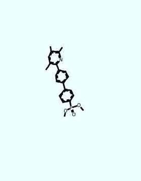 COP(=O)(OC)c1ccc(-c2ccc(-c3nc(C)c(C)cc3C)cc2)cc1